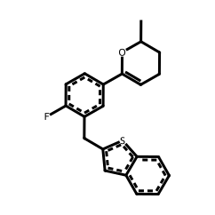 CC1CCC=C(c2ccc(F)c(Cc3cc4ccccc4s3)c2)O1